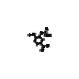 O=[N+]([O-])c1ccc(OI)c(O[PH](=O)O)c1